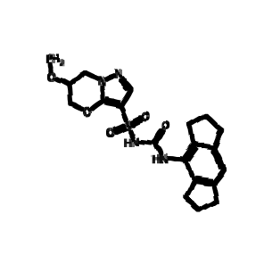 O=C(Nc1c2c(cc3c1CCC3)CCC2)NS(=O)(=O)c1cnn2c1OCC(OP)C2